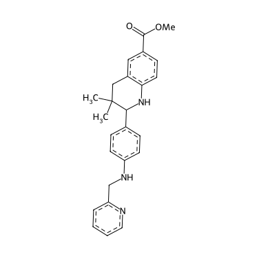 COC(=O)c1ccc2c(c1)CC(C)(C)C(c1ccc(NCc3ccccn3)cc1)N2